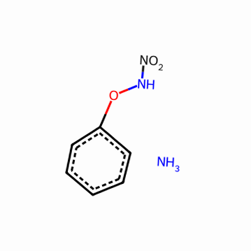 N.O=[N+]([O-])NOc1ccccc1